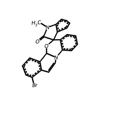 CN1C(=O)C2(OC3c4cccc(Br)c4C=CN3c3ccccc32)c2ccccc21